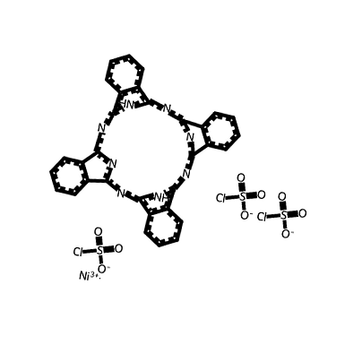 O=S(=O)([O-])Cl.O=S(=O)([O-])Cl.O=S(=O)([O-])Cl.[Ni+3].c1ccc2c(c1)-c1nc-2nc2[nH]c(nc3nc(nc4[nH]c(n1)c1ccccc41)-c1ccccc1-3)c1ccccc21